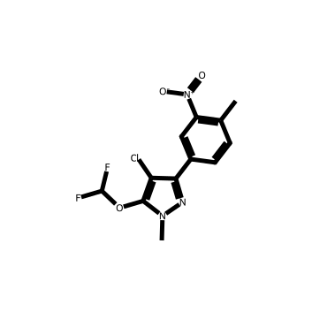 Cc1ccc(-c2nn(C)c(OC(F)F)c2Cl)cc1[N+](=O)[O-]